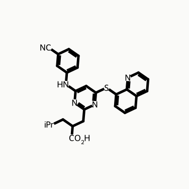 CC(C)CC(Cc1nc(Nc2cccc(C#N)c2)cc(Sc2cccc3cccnc23)n1)C(=O)O